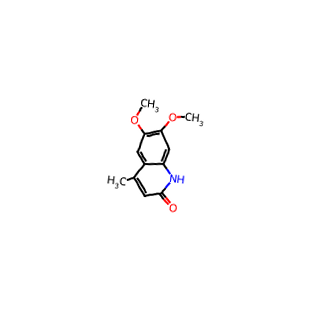 COc1cc2[nH]c(=O)cc(C)c2cc1OC